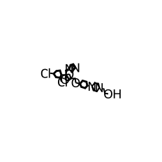 OCCN1CCN(c2ccc(OCC3COC(Cn4ccnc4)(c4ccc(Cl)cc4Cl)O3)cc2)CC1